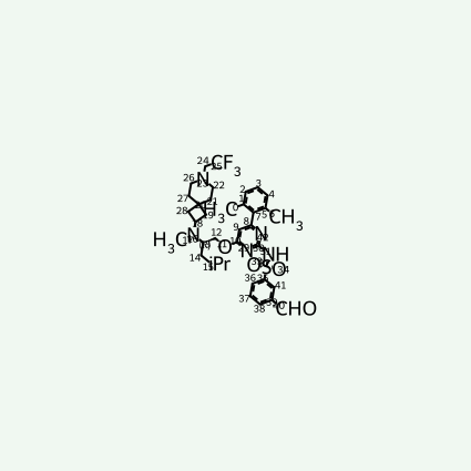 Cc1cccc(C)c1-c1cc(OC[C@@H](CC(C)C)N(C)C2CC3(CCN(CC(F)(F)F)CC3)C2)nc(NS(=O)(=O)c2cccc(C=O)c2)n1